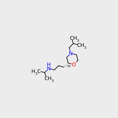 CC(C)CN1CCO[C@H](CCCNC(C)C)C1